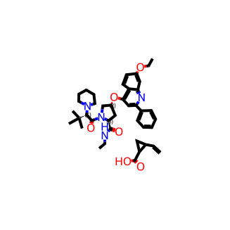 C=CC1CC1C(=O)O.CCNC(=O)[C@@H]1C[C@@H](Oc2cc(-c3ccccc3)nc3cc(OCC)ccc23)CN1C(=O)[C@@H](N1CCCCC1)C(C)(C)C